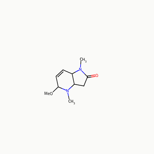 COC1C=CC2C(CC(=O)N2C)N1C